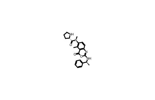 Cc1c(N(C)C(=O)[C@@H]2CCCN2)ccc2nc(N[C@@H](C)c3ccccc3)oc(=O)c12